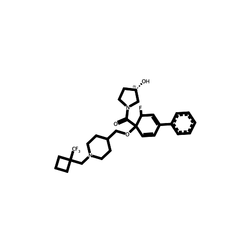 O=C(N1CC[C@H](O)C1)C1(OCC2CCN(CC3(C(F)(F)F)CCC3)CC2)C=CC(c2ccccc2)=CC1F